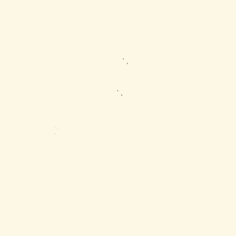 Cc1cncn1-c1cc(Br)ccc1Cc1ccccc1